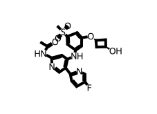 CC(=O)Nc1cc(Nc2cc(O[C@H]3C[C@H](O)C3)cc(S(C)(=O)=O)c2)c(-c2ccc(F)cn2)cn1